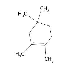 CC1=C(C)CC(C)(C)CC1